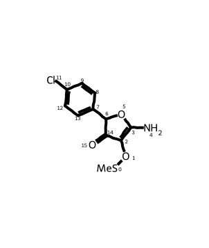 CSOC1=C(N)OC(c2ccc(Cl)cc2)C1=O